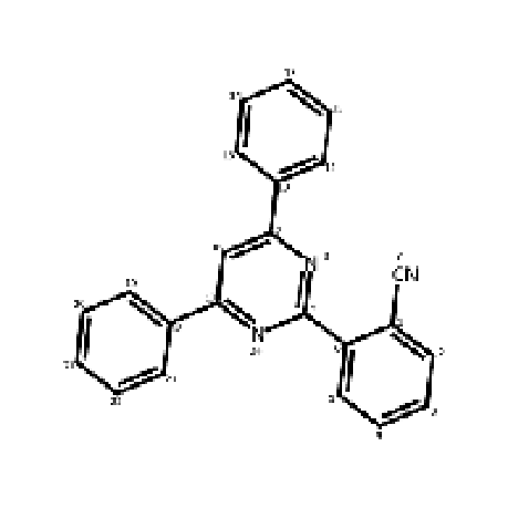 N#Cc1ccccc1-c1nc(-c2ccccc2)cc(-c2ccccc2)n1